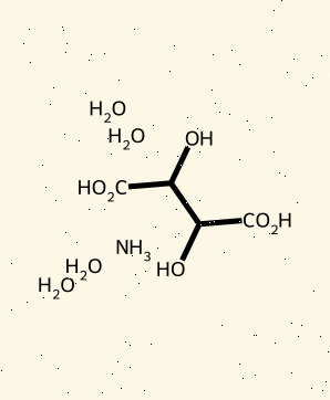 N.O.O.O.O.O=C(O)C(O)C(O)C(=O)O